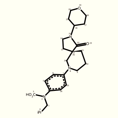 CC(C)CN(C(=O)O)c1ccc(N2CCC[C@]3(CCN(C4CCOCC4)C3=O)C2)cc1